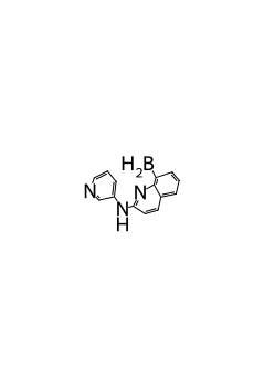 Bc1cccc2ccc(Nc3cccnc3)nc12